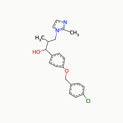 Cc1nccn1CC(C)C(O)c1ccc(OCc2ccc(Cl)cc2)cc1